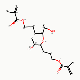 C=C(C)C(=O)OCCCC(OC(CCCOC(=O)C(=C)C)C(C)O)C(C)O